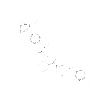 Cn1nnnc1-c1ccc(NC(=O)NC2CCCCC2C(=O)N2CCCC(Cc3ccc(F)cc3)C2)cc1